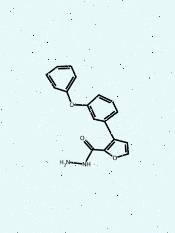 NNC(=O)c1occc1-c1cccc(Oc2ccccc2)c1